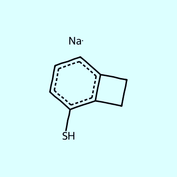 Sc1cccc2c1CC2.[Na]